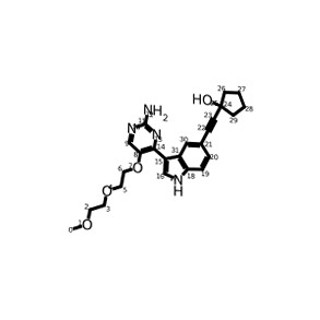 COCCOCCOc1cnc(N)nc1-c1c[nH]c2ccc(C#CC3(O)CCCC3)cc12